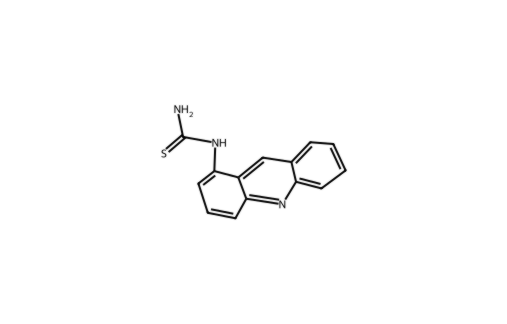 NC(=S)Nc1cccc2nc3ccccc3cc12